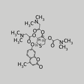 Cc1cc(=O)oc2cc(O[C@H]3SC[C@@H](OC(=O)CN(C)C)[C@H](OC(=O)CN(C)C)[C@H]3OC(=O)CN(C)C)ccc12